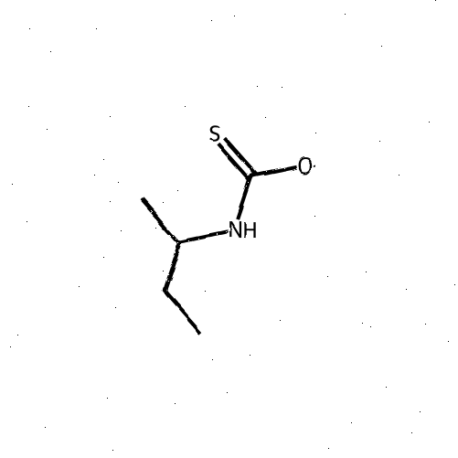 CCC(C)NC([O])=S